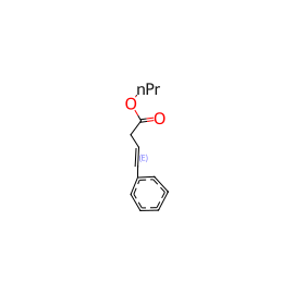 CCCOC(=O)C/C=C/c1ccccc1